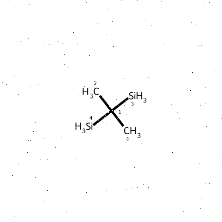 CC(C)([SiH3])[SiH3]